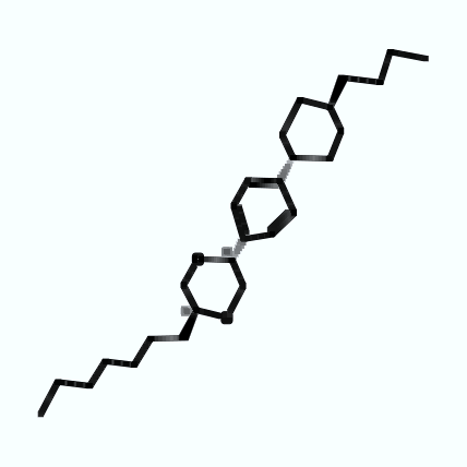 CCCCCCC[C@H]1CO[C@H](c2ccc([C@H]3CC[C@H](CCCC)CC3)cc2)CO1